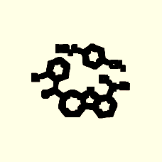 CCN(CC)c1cccc2c3cccc(C(=O)c4ccccc4Br)cc-3nc12.Cc1ccc(S(=O)(=O)O)cc1